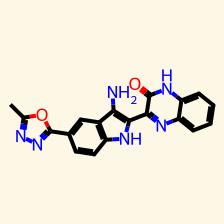 Cc1nnc(-c2ccc3[nH]c(-c4nc5ccccc5[nH]c4=O)c(N)c3c2)o1